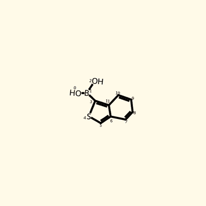 OB(O)c1scc2ccccc12